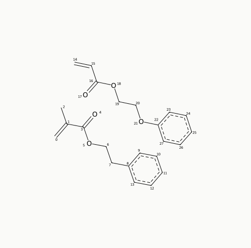 C=C(C)C(=O)OCCc1ccccc1.C=CC(=O)OCCOc1ccccc1